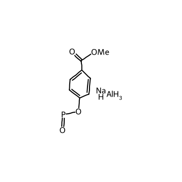 COC(=O)c1ccc(OP=O)cc1.[AlH3].[NaH]